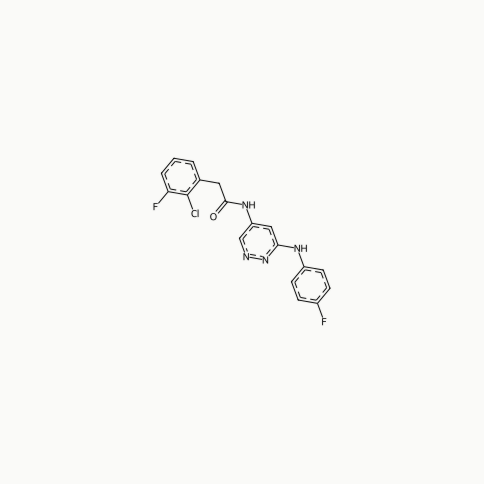 O=C(Cc1cccc(F)c1Cl)Nc1cnnc(Nc2ccc(F)cc2)c1